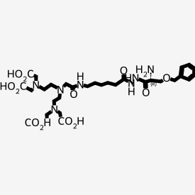 N[C@H](COCc1ccccc1)C(=O)NNC(=O)CCCCCNC(=O)CN(CCN(CC(=O)O)CC(=O)O)CCN(CC(=O)O)CC(=O)O